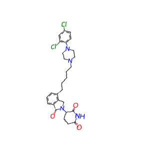 O=C1CCC(N2Cc3c(CCCCCN4CCN(c5ccc(Cl)cc5Cl)CC4)cccc3C2=O)C(=O)N1